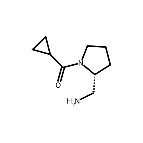 NC[C@H]1CCCN1C(=O)C1CC1